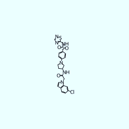 O=C(Cn1ccc2ccc(Cl)cc21)N[C@H]1CCN(c2ccc(S(=O)(=O)Nc3ncns3)cc2)C1